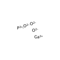 [Ga+3].[O-2].[O-2].[O-2].[P+3]